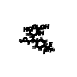 COC[C@H](c1ccc(C(F)(F)F)cc1)[C@@H](CO)NC(=O)O